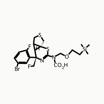 C[Si](C)(C)CCOCN(C(=O)O)C1=N[C@](CF)(c2cc(Br)ccc2F)[C@H]2C3CSC[C@@]32S1